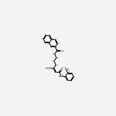 C/C(=C/C(=O)Nc1ccccc1N)CCCCC(=O)c1ccc2ccccc2c1